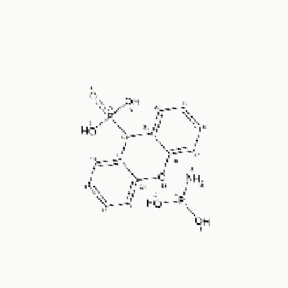 NP(O)O.O=P(O)(O)C1c2ccccc2Oc2ccccc21